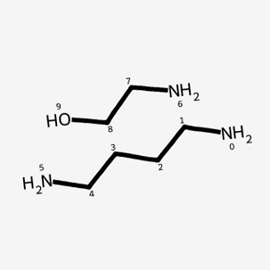 NCCCCN.NCCO